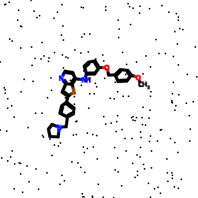 COc1ccc(COc2cccc(Nc3ccnc4cc(-c5ccc(CN6CCCC6)cc5)sc34)c2)cc1